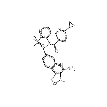 C[C@@H]1OCc2c1c(N)nc1cc(CN(C(=O)c3ccc(C4CC4)nc3)c3cccnc3S(C)(=O)=O)ccc21